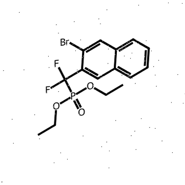 CCOP(=O)(OCC)C(F)(F)c1cc2ccccc2cc1Br